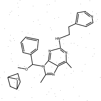 C1CC2CC1O2.COC(c1ccccc1)n1c(C)nc2c(C)nc(NCCc3ccncc3)nc21